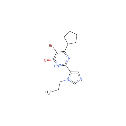 CCCn1cncc1-c1nc(C2CCCC2)c(Br)c(=O)[nH]1